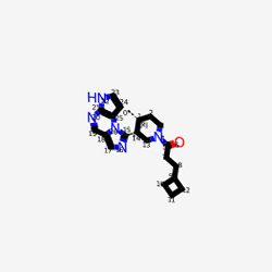 C[C@@H]1CCN(C(=O)CCC2CCC2)C[C@@H]1c1ncc2cnc3[nH]ccc3n12